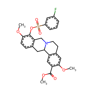 COC(=O)c1cc2c(cc1OC)CCN1Cc3c(ccc(OC)c3OS(=O)(=O)c3cccc(F)c3)CC21